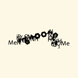 CNC(=O)N[C@H](C(=O)N1CCC[C@H]1c1ncc(-c2ccc([C@H]3CC[C@H](c4cnc([C@@H]5CCCN5C(=O)[C@@H](CC(F)(F)F)NC(=O)OC)[nH]4)CC3)cc2)[nH]1)C(C)C